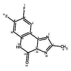 Cc1nc2c3cc(F)c(F)cc3[nH]c(=O)n2n1